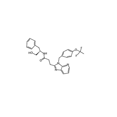 CC(F)(F)Oc1ccc(Cn2c(CCC(=O)N[C@@H](CO)Cc3ccccc3)nc3cccnc32)cc1